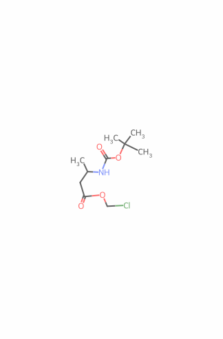 CC(CC(=O)OCCl)NC(=O)OC(C)(C)C